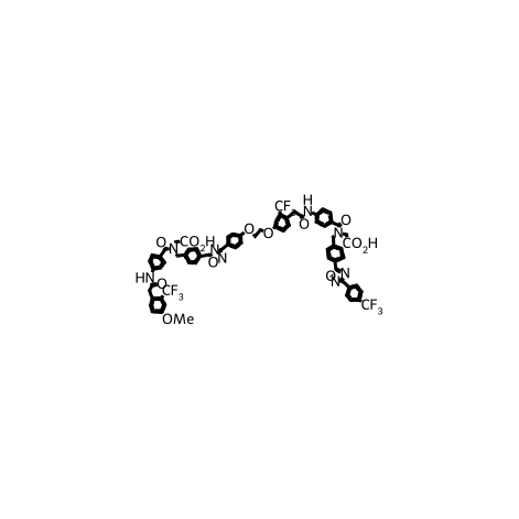 COc1ccc(CC(=O)Nc2ccc(C(=O)N(CC(=O)O)Cc3ccc(-c4nc(-c5ccc(OCCOc6ccc(CC(=O)Nc7ccc(C(=O)N(CC(=O)O)Cc8ccc(-c9nc(-c%10ccc(C(F)(F)F)cc%10)no9)cc8)cc7)c(C(F)(F)F)c6)cc5)no4)cc3)cc2)c(C(F)(F)F)c1